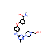 Cc1nc(Nc2ccc(Oc3cccc(C(O)N(C)C)c3)cc2)nc(N2CCN(CCO)CC2)n1